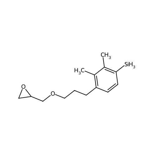 Cc1c([SiH3])ccc(CCCOCC2CO2)c1C